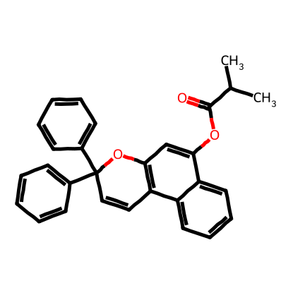 CC(C)C(=O)Oc1cc2c(c3ccccc13)C=CC(c1ccccc1)(c1ccccc1)O2